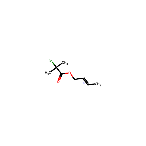 C/C=C/COC(=O)C(C)(C)Br